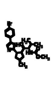 C=C1CC(C(=O)[C@@H](NC(=O)OC)C(C)C)[C@H](c2ncc(-c3ccc(Br)cc3)[nH]2)C1